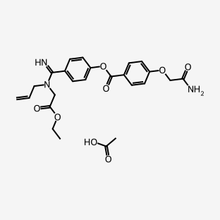 C=CCN(CC(=O)OCC)C(=N)c1ccc(OC(=O)c2ccc(OCC(N)=O)cc2)cc1.CC(=O)O